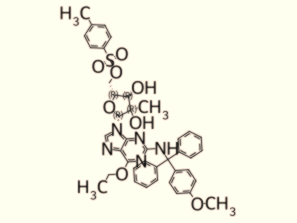 CCOc1nc(NC(c2ccccc2)(c2ccccc2)c2ccc(OC)cc2)nc2c1ncn2[C@@H]1O[C@H](COS(=O)(=O)c2ccc(C)cc2)[C@@H](O)[C@@]1(C)O